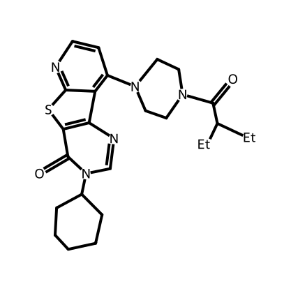 CCC(CC)C(=O)N1CCN(c2ccnc3sc4c(=O)n(C5CCCCC5)cnc4c23)CC1